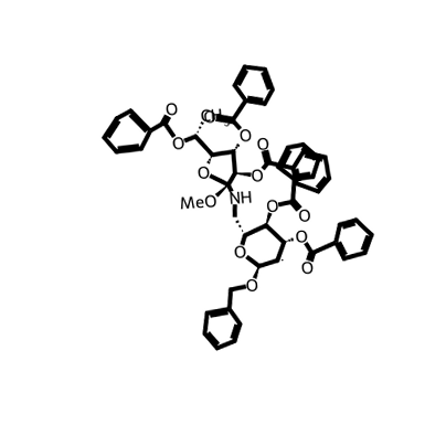 CO[C@@]1(NC[C@H]2O[C@H](OCc3ccccc3)[CH][C@@H](OC(=O)c3ccccc3)[C@@H]2OC(=O)c2ccccc2)O[C@H]([C@@H](C)OC(=O)c2ccccc2)[C@H](OC(=O)c2ccccc2)[C@H]1OC(=O)c1ccccc1